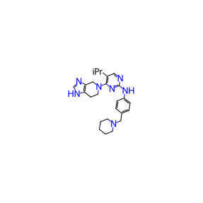 CC(C)c1cnc(Nc2ccc(CN3CCCCC3)cc2)nc1N1CCc2[nH]cnc2C1